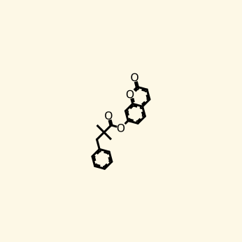 CC(C)(Cc1ccccc1)C(=O)Oc1ccc2ccc(=O)oc2c1